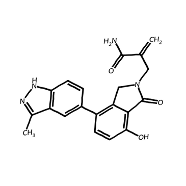 C=C(CN1Cc2c(-c3ccc4[nH]nc(C)c4c3)ccc(O)c2C1=O)C(N)=O